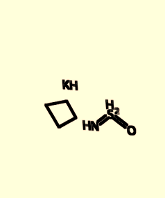 C1CCC1.N=[SH2]=O.[KH]